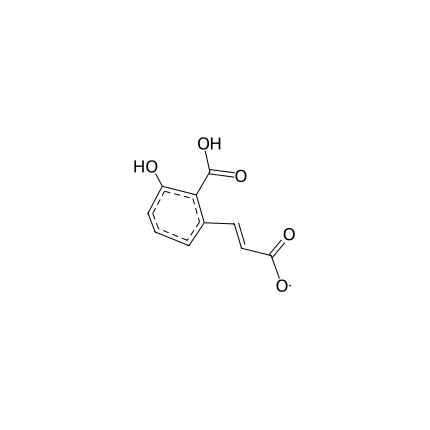 [O]C(=O)C=Cc1cccc(O)c1C(=O)O